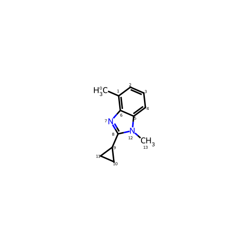 Cc1cccc2c1nc(C1CC1)n2C